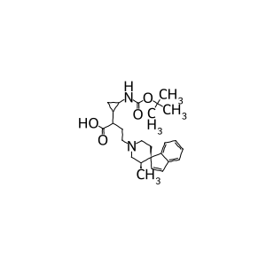 C[C@H]1CN(CCC(C(=O)O)C2CC2NC(=O)OC(C)(C)C)CC[C@@]12C=Cc1ccccc12